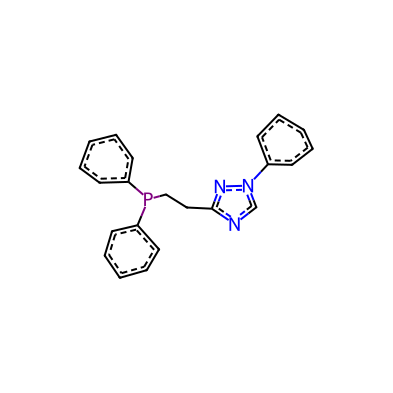 c1ccc(-n2cnc(CCP(c3ccccc3)c3ccccc3)n2)cc1